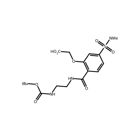 CNS(=O)(=O)c1ccc(C(=O)NCCNC(=O)OC(C)(C)C)c(OCC(=O)O)c1